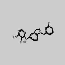 Nc1ncnc(Nc2ccc3c(c2)CCN3Cc2cccc(F)c2)c1C=O